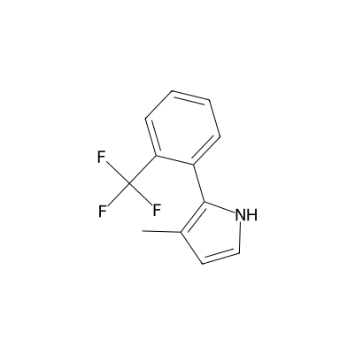 Cc1cc[nH]c1-c1ccccc1C(F)(F)F